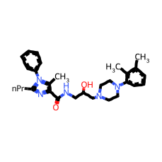 CCCc1nc(C(=O)NCC(O)CN2CCN(c3cccc(C)c3C)CC2)c(C)n1-c1ccccc1